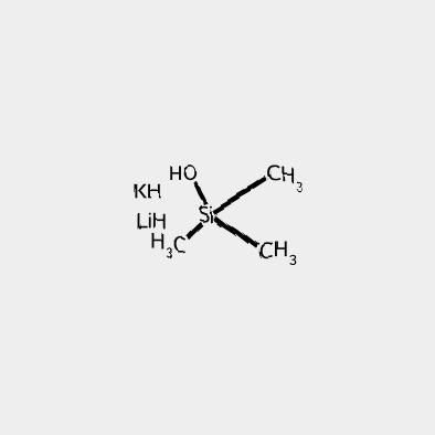 C[Si](C)(C)O.[KH].[LiH]